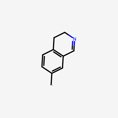 [CH2]c1ccc2c(c1)C=NCC2